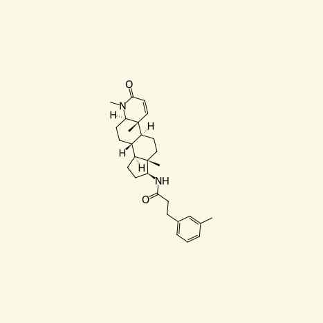 Cc1cccc(CCC(=O)N[C@H]2CC[C@H]3[C@@H]4CC[C@H]5N(C)C(=O)C=C[C@]5(C)[C@H]4CC[C@]23C)c1